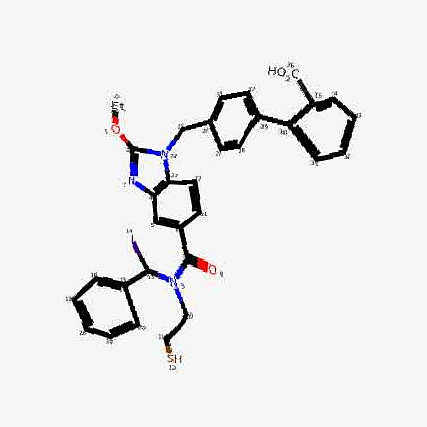 CCOc1nc2cc(C(=O)N(CCS)C(I)c3ccccc3)ccc2n1Cc1ccc(-c2ccccc2C(=O)O)cc1